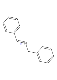 C(=N\Cc1ccccc1)/c1ccccc1